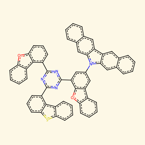 c1ccc2cc3c(cc2c1)c1cc2ccccc2cc1n3-c1cc(-c2nc(-c3cccc4oc5ccccc5c34)nc(-c3cccc4sc5ccccc5c34)n2)c2oc3ccccc3c2c1